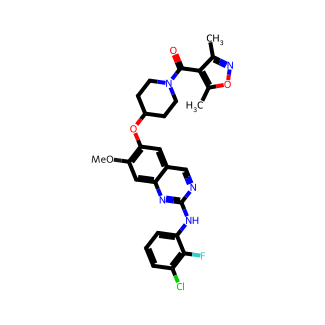 COc1cc2nc(Nc3cccc(Cl)c3F)ncc2cc1OC1CCN(C(=O)c2c(C)noc2C)CC1